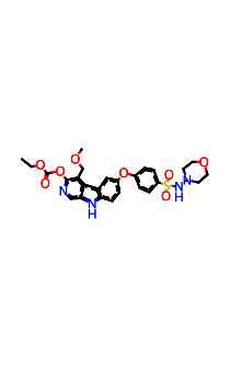 CCOC(=O)Oc1ncc2[nH]c3ccc(Oc4ccc(S(=O)(=O)NN5CCOCC5)cc4)cc3c2c1COC